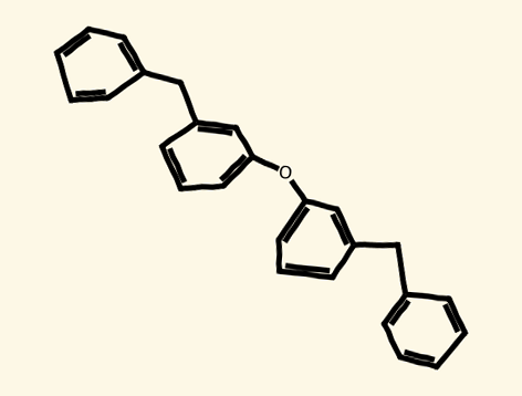 c1ccc(Cc2cccc(Oc3cccc(Cc4ccccc4)c3)c2)cc1